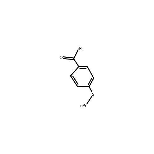 CCCSc1ccc(C(=O)C(C)C)cc1